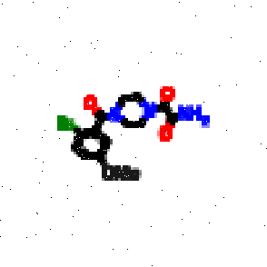 COc1ccc(Br)c(C(=O)N2CCN(C(=O)C(N)=O)CC2)c1